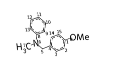 COc1ccc(CN(C)c2ccccc2)cc1